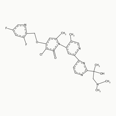 Cc1cnc(-c2ccnc(C(C)(O)CN(C)C)n2)cc1-n1c(C)cc(OCc2ncc(F)cc2F)c(Cl)c1=O